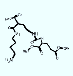 COC(=O)C(CCNC(=O)NC(CCC(=O)OC(C)(C)C)C(=O)OC(C)(C)C)C(=O)NCCCCN